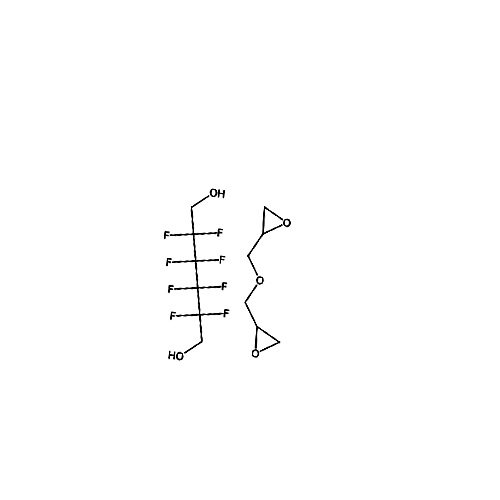 C(OCC1CO1)C1CO1.OCC(F)(F)C(F)(F)C(F)(F)C(F)(F)CO